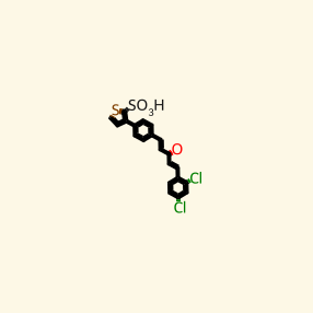 O=C(/C=C/c1ccc(-c2ccsc2S(=O)(=O)O)cc1)/C=C/c1ccc(Cl)cc1Cl